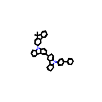 CC1(C)C2=CCC(N3C4C=CC=CC4C4C=C(C5CC=C6C(C5)C5=C(CCC=C5)N6c5ccc(C6=CCCC=C6)cc5)C=CC43)CC2C2C=CC=CC21